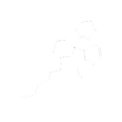 CCCCCCC1CCOC(c2ccccc2)(c2ccccc2CO)O1